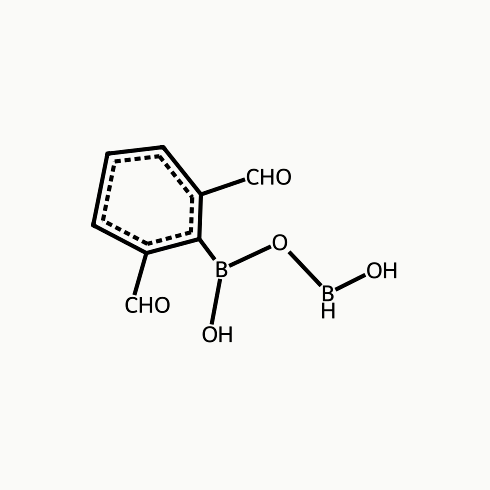 O=Cc1cccc(C=O)c1B(O)OBO